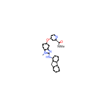 CNC(=O)c1cc(Oc2ccc3c(c2)nc(Nc2cccc4c2Cc2ccccc2-4)n3C)ccn1